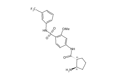 COc1cc(NC(=O)[C@@H]2CCC[C@H]2N)ccc1S(=O)(=O)Nc1cccc(C(F)(F)F)c1